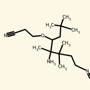 CC(C)(C)CC(OCCC#N)C(C)(N)C(C)(C)CCN=O